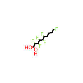 OC(O)C(F)C(F)C(F)C(F)C(F)CCCCF